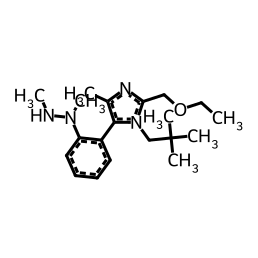 CCOCc1nc(C)c(-c2ccccc2N(C)NC)n1CC(C)(C)C